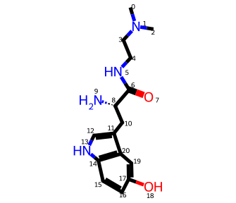 CN(C)CCNC(=O)[C@@H](N)Cc1c[nH]c2ccc(O)cc12